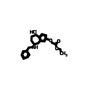 CCOC(=O)COc1ccc2c(c1)C[C@H](NCc1ccccc1)CCC2.Cl